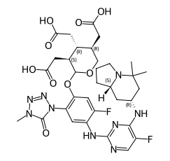 Cn1nnn(-c2cc(Nc3ncc(F)c(N[C@@H]4C[C@@H]5CCCN5C(C)(C)C4)n3)c(F)cc2OC2OC[C@H](CC(=O)O)[C@@H](CC(=O)O)[C@@H]2CC(=O)O)c1=O